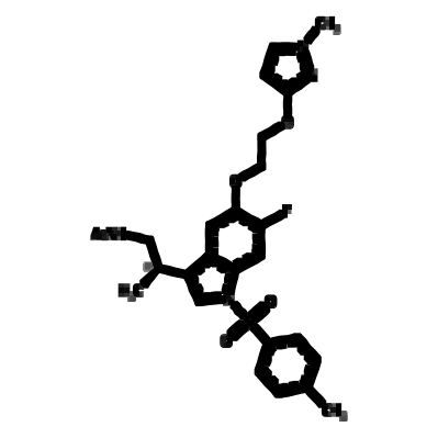 CC(=O)NC[C@H](C)c1cn(S(=O)(=O)c2ccc(C)cc2)c2cc(F)c(OCCOc3ccn(C)n3)cc12